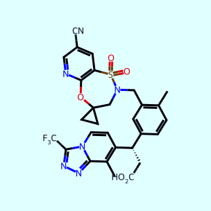 Cc1ccc([C@H](CC(=O)O)c2ccn3c(C(F)(F)F)nnc3c2C)cc1CN1CC2(CC2)Oc2ncc(C#N)cc2S1(=O)=O